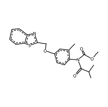 COC(=O)N(C(=O)C(C)C)c1ccc(OCc2nc3ccccc3s2)cc1C